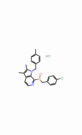 Cc1ccc(Cn2c(C)c(C)c3ccnc([S+]([O-])Cc4ccc(Cl)cc4)c32)cc1.Cl